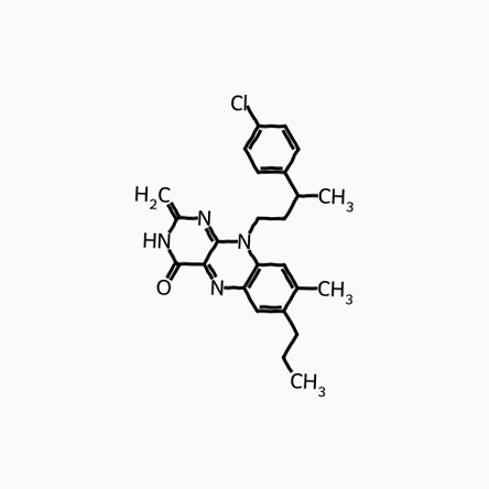 C=c1nc2c(c(=O)[nH]1)=Nc1cc(CCC)c(C)cc1N2CCC(C)c1ccc(Cl)cc1